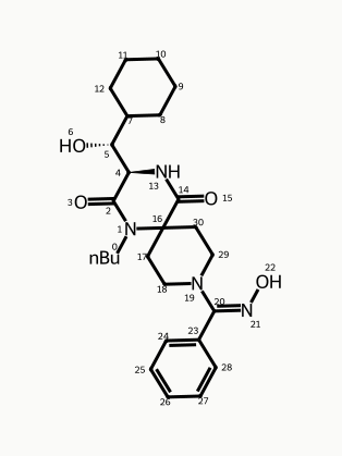 CCCCN1C(=O)[C@@H]([C@H](O)C2CCCCC2)NC(=O)C12CCN(/C(=N\O)c1ccccc1)CC2